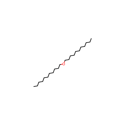 CCCCCCCCCCCOCCCCCCCCCCC